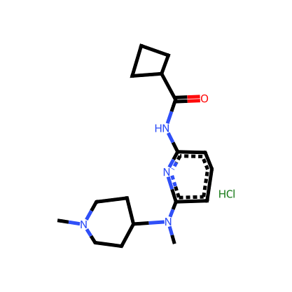 CN1CCC(N(C)c2cccc(NC(=O)C3CCC3)n2)CC1.Cl